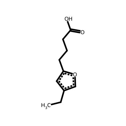 CCc1coc(CCCC(=O)O)c1